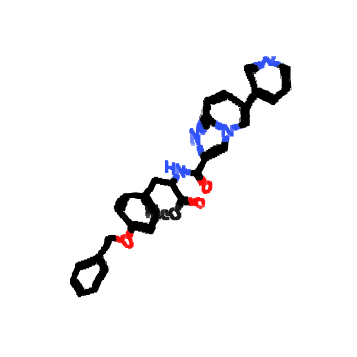 COC(=O)C(Cc1ccc(OCc2ccccc2)cc1)NC(=O)c1cn2cc(-c3cccnc3)ccc2n1